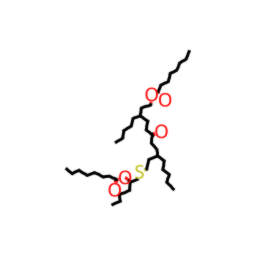 CCCCCCCC(=O)OCCC(CCCCC)CCC(=O)CCC(CCCCC)CCSCC(CCCC)OC(=O)CCCCCCC